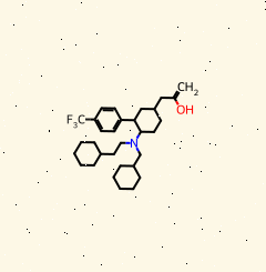 C=C(O)CC1CCC(N(CCC2CCCCC2)CC2CCCCC2)C(c2ccc(C(F)(F)F)cc2)C1